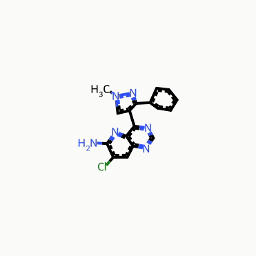 Cn1cc(-c2ncnc3cc(Cl)c(N)nc23)c(-c2ccccc2)n1